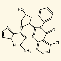 Nc1nc(N2C[C@@H](O)C[C@H]2c2nc3cccc(Cl)c3c(=O)n2-c2ccccc2)c2nccn2n1